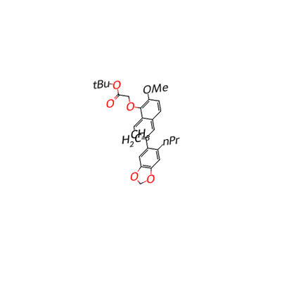 C=C(/C=c1/ccc(OC)c(OCC(=O)OC(C)(C)C)/c1=C/C)c1cc2c(cc1CCC)OCO2